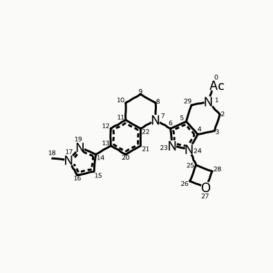 CC(=O)N1CCc2c(c(N3CCCc4cc(-c5ccn(C)n5)ccc43)nn2C2COC2)C1